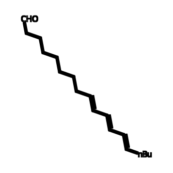 CCCCC=CC=CC=CCCCCCCCC=O